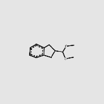 COC(OC)C1Cc2ccccc2C1